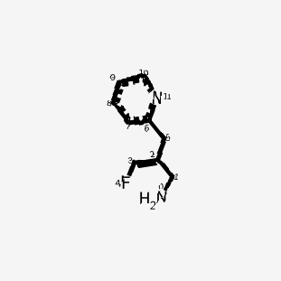 NCC(=CF)Cc1ccccn1